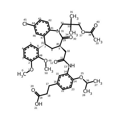 COc1cccc([C@H]2C[C@H](CC(=O)Nc3cc(CCC(=O)O)ccc3OC(C)C)C(=O)N(CC(C)(C)COC(C)=O)c3ccc(Cl)cc32)c1OC